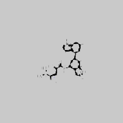 C=C(/C=C(/C)N(C)N)C(=O)Nc1cc(-c2cccc3[nH]ccc23)cc2[nH]ncc12